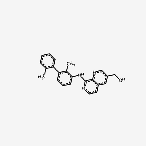 Cc1ccccc1-c1cccc(Nc2nccc3cc(CO)cnc23)c1C